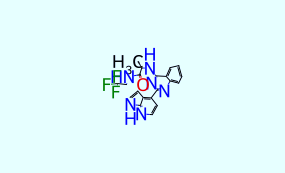 C[C@@H](Nc1nc(-c2ccnc3[nH]ccc23)nc2ccccc12)C(=O)NCC(F)(F)F